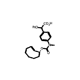 CN(C(=O)O[C@H]1/C=C/CCCCC1)c1ccc(C(O)C(=O)O)cc1